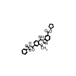 COc1cc(C(=O)NS(=O)(=O)c2ccccc2)ccc1C(N)n1cnc2ccc(C(=O)OC3CCCC3)cc21